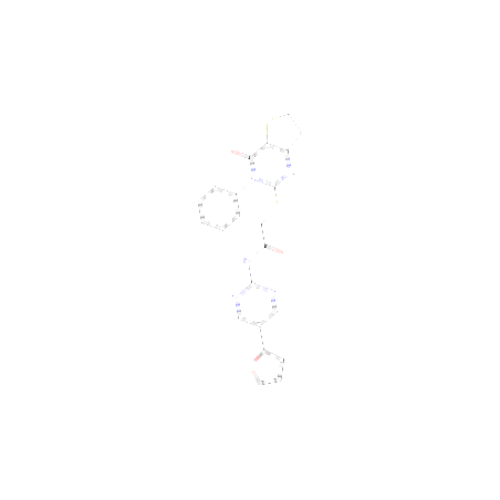 O=C(CSc1nc2c(c(=O)n1-c1ccccc1)SCC2)Nc1ncc(-c2ccco2)cn1